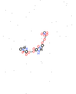 COc1cc2c(cc1OCCCOc1cc3c(cc1OC)C(=O)N1c4cc(OCCOCCC(=O)ON5C(=O)CCC5=O)ccc4C[C@H]1CN3)N=C[C@@H]1Cc3ccccc3N1C2=O